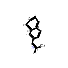 [CH2]/C(F)=C/c1ccc2ccccc2c1